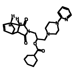 O=C(OC(CN1CCN(c2ccccn2)CC1)CN1C(=O)C2C3C=C[C@@H](C3)[C@@H]2C1=O)C1CCCCC1